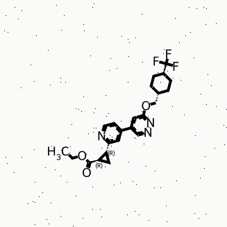 CCOC(=O)[C@@H]1C[C@H]1c1cc(-c2cnnc(OC[C@H]3CC[C@H](C(F)(F)F)CC3)c2)ccn1